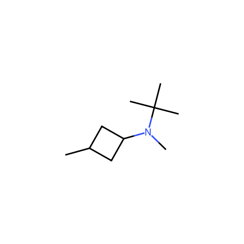 CC1CC(N(C)C(C)(C)C)C1